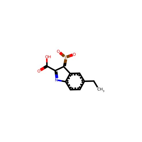 CCc1ccc2c(c1)C(=S(=O)=O)C(C(=O)O)=N2